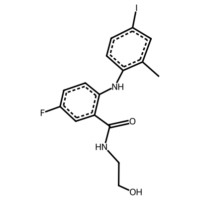 Cc1cc(I)ccc1Nc1ccc(F)cc1C(=O)NCCO